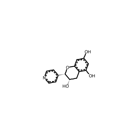 Oc1cc(O)c2c(c1)O[C@@H](c1ccncc1)[C@@H](O)C2